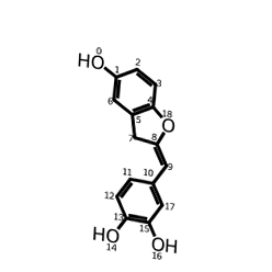 Oc1ccc2c(c1)CC(=Cc1ccc(O)c(O)c1)O2